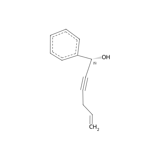 C=CCC#C[C@@H](O)c1ccccc1